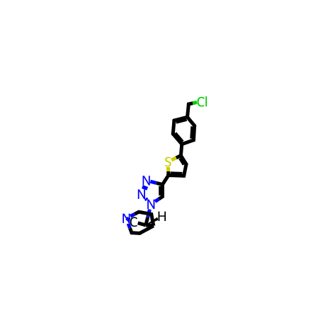 ClCc1ccc(-c2ccc(-c3cn([C@H]4CN5CCC4CC5)nn3)s2)cc1